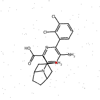 CC1(N)CC2CCC(C1)N2c1nc(N)c(-c2cccc(Cl)c2Cl)nc1C(=O)O